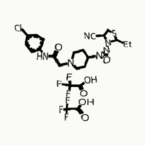 CCC1SCC(C#N)N1n1on1C1CCN(CC(=O)Nc2ccc(Cl)cc2)CC1.O=C(O)C(F)(F)F.O=C(O)C(F)(F)F